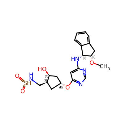 CO[C@H]1Cc2ccccc2[C@H]1Nc1cc(O[C@@H]2C[C@@H](CN[SH](=O)=O)[C@@H](O)C2)ncn1